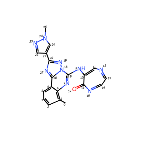 Cc1cccc2c1nc(Nc1cnccnc1=O)n1nc(-c3cnn(C)c3)nc21